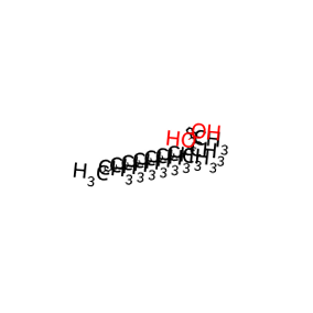 CC(C)=CCC/C(C)=C/CC/C(C)=C/CC/C(C)=C/CC/C(C)=C/CC/C(C)=C/CC/C(C)=C/CC/C(C)=C/CC/C(C)=C/Cc1c(C)c(O)c2ccccc2c1O